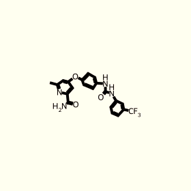 Cc1cc(Oc2ccc(NC(=O)Nc3cccc(C(F)(F)F)c3)cc2)cc(C(N)=O)n1